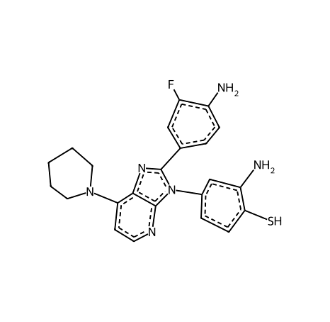 Nc1ccc(-c2nc3c(N4CCCCC4)ccnc3n2-c2ccc(S)c(N)c2)cc1F